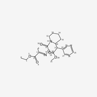 CCOC(=O)/C(C)=N/OC(=O)N1CCCCC1C(C(=O)OC)c1ccccc1